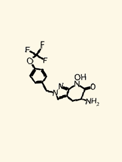 N[C@H]1Cc2cn(Cc3ccc(OC(F)(F)F)cc3)nc2N(O)C1=O